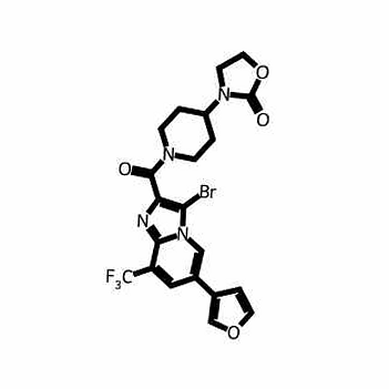 O=C(c1nc2c(C(F)(F)F)cc(-c3ccoc3)cn2c1Br)N1CCC(N2CCOC2=O)CC1